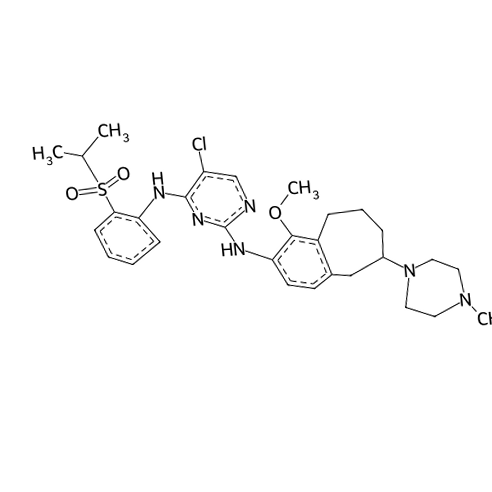 COc1c(Nc2ncc(Cl)c(Nc3ccccc3S(=O)(=O)C(C)C)n2)ccc2c1CCCC(N1CCN(C)CC1)C2